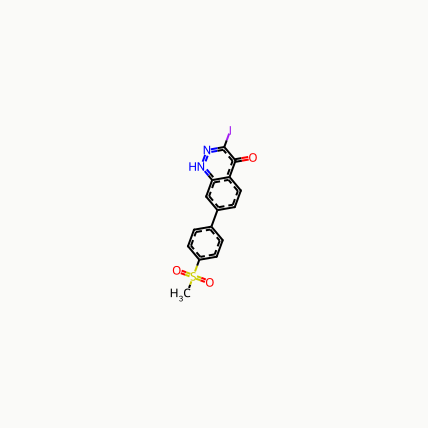 CS(=O)(=O)c1ccc(-c2ccc3c(=O)c(I)n[nH]c3c2)cc1